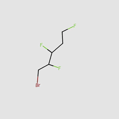 FCCC(F)C(F)CBr